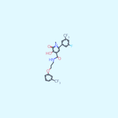 Cn1c(-c2cc(F)cc(C(F)(F)F)c2)cc(C(=O)NCCCOc2cccc(C(F)(F)F)c2)c(O)c1=O